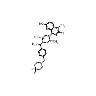 CC(c1ccc(CN2CCC(F)(F)CC2)cc1)N1C[C@H](C)N(c2nc(=O)n(C)c3ccc(C#N)nc23)C[C@H]1C